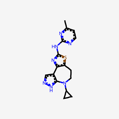 Cc1ccnc(Nc2nc3c(s2)CCN(C2CC2)c2[nH]ncc2-3)n1